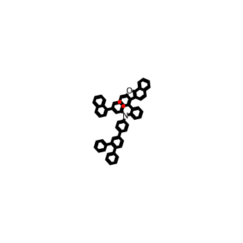 c1ccc(-c2ccc(-c3ccc(N(c4cccc(-c5cccc6ccccc56)c4)c4ccccc4-c4cccc5oc6c7ccccc7ccc6c45)cc3)cc2-c2ccccc2)cc1